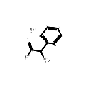 NC(C(=O)[O-])c1ccccc1.[Na+]